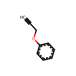 C#CCOc1c[c]ccc1